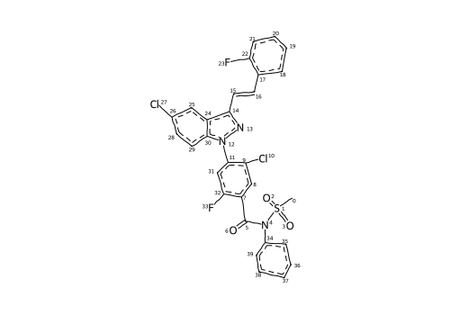 CS(=O)(=O)N(C(=O)c1cc(Cl)c(-n2nc(C=Cc3ccccc3F)c3cc(Cl)ccc32)cc1F)c1ccccc1